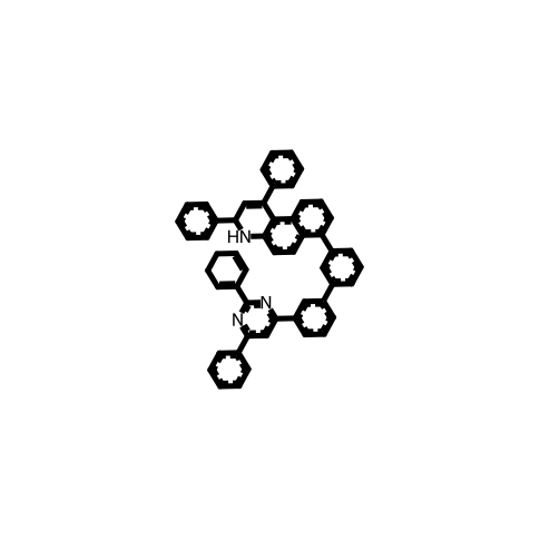 C1=CC(c2nc(-c3ccccc3)cc(-c3cccc(-c4cccc(-c5cccc6c7c(ccc56)NC(c5ccccc5)C=C7c5ccccc5)c4)c3)n2)=CCC1